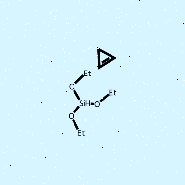 C1=CC1.CCO[SiH](OCC)OCC